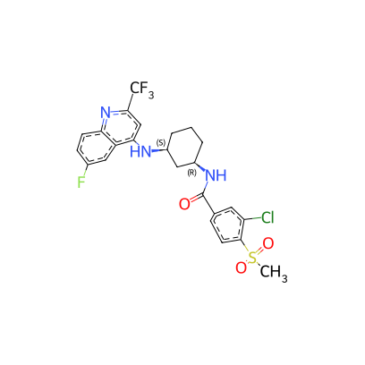 CS(=O)(=O)c1ccc(C(=O)N[C@@H]2CCC[C@H](Nc3cc(C(F)(F)F)nc4ccc(F)cc34)C2)cc1Cl